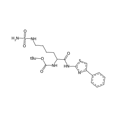 CC(C)(C)OC(=O)NC(CCCCNS(N)(=O)=O)C(=O)Nc1nc(-c2ccccc2)cs1